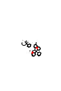 CCC1(c2cccc(Oc3cc(C(c4c[nH]cn4)C(c4ccccc4)(c4ccccc4)c4ccccc4)ccc3C#N)c2)CCCCN(C)C1=O